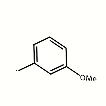 [CH2]c1cccc(OC)c1